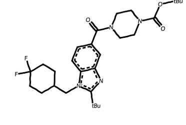 CC(C)(C)OC(=O)N1CCN(C(=O)c2ccc3c(c2)nc(C(C)(C)C)n3CC2CCC(F)(F)CC2)CC1